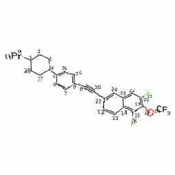 CCCC1CCC(c2ccc(C#Cc3ccc4c(F)c(OC(F)(F)F)c(F)cc4c3)cc2)CC1